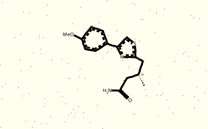 COc1ccc(-c2csc([CH][C@H](C)CC(N)=O)n2)cc1